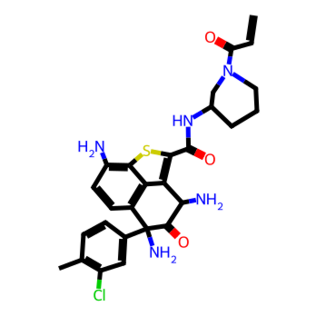 C=CC(=O)N1CCCC(NC(=O)c2sc3c(N)ccc4c3c2C(N)C(=O)C4(N)c2ccc(C)c(Cl)c2)C1